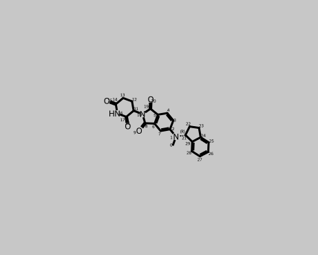 CN(c1ccc2c(c1)C(=O)N(C1CCC(=O)NC1=O)C2=O)[C@@H]1CCc2ccccc21